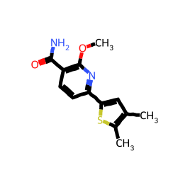 COc1nc(-c2cc(C)c(C)s2)ccc1C(N)=O